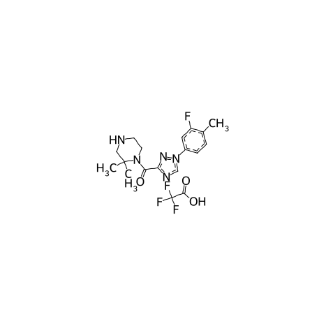 Cc1ccc(-n2cnc(C(=O)N3CCNCC3(C)C)n2)cc1F.O=C(O)C(F)(F)F